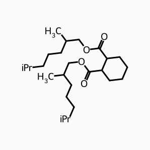 CC(C)CCCC(C)COC(=O)C1CCCCC1C(=O)OCC(C)CCCC(C)C